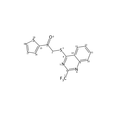 O=C(CSc1nc(C(F)(F)F)nc2ccccc12)c1cccs1